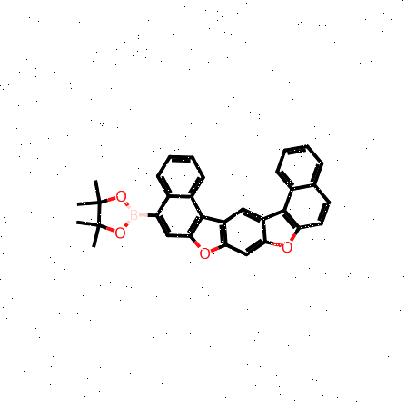 CC1(C)OB(c2cc3oc4cc5oc6ccc7ccccc7c6c5cc4c3c3ccccc23)OC1(C)C